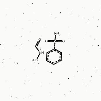 NNC=O.NS(=O)(=O)c1ccccc1